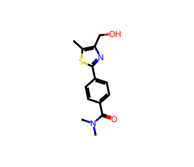 Cc1sc(-c2ccc(C(=O)N(C)C)cc2)nc1CO